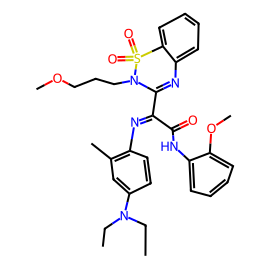 CCN(CC)c1ccc(/N=C(\C(=O)Nc2ccccc2OC)C2=Nc3ccccc3S(=O)(=O)N2CCCOC)c(C)c1